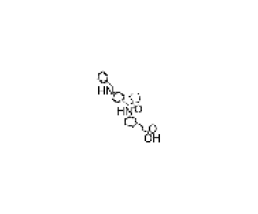 O=C(O)/C=C/c1cccc(NC(=O)C2(Cc3ccc(NCc4ccccc4)cc3)CCCCC2)c1